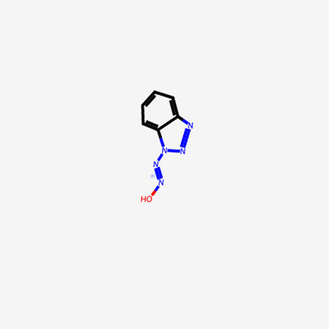 O/N=N/n1nnc2ccccc21